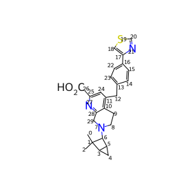 CC1(C)C2CC2C1N1CCc2c(Cc3ccc(-c4cscn4)cc3)cc(C(=O)O)nc2C1